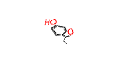 CCc1coc2cc(O)ccc12